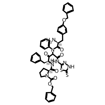 N[C@@H](Cc1ccc(OCc2ccccc2)cc1)C(=O)N(c1ccccc1)C(C(=O)Nc1n[nH]c(=S)s1)C(=O)[C@H](Cc1ccccc1)NC(=O)[C@@H]1CCCN1C(=O)OCc1ccccc1